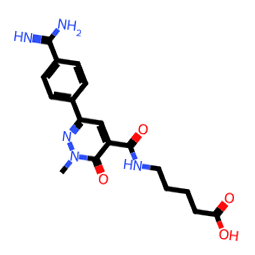 Cn1nc(-c2ccc(C(=N)N)cc2)cc(C(=O)NCCCCC(=O)O)c1=O